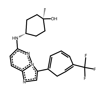 C[C@]1(O)CC[C@H](Nc2ccc3ncc(C4=CC=CC(C(F)(F)F)=CC4)n3n2)CC1